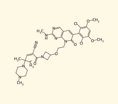 CNc1ncc2cc(-c3c(Cl)c(OC)cc(OC)c3Cl)c(=O)n(CCOC3CN(C(=O)/C(C#N)=C\C(C)(C)N4CCN(C)CC4)C3)c2n1